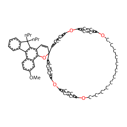 CCCC1(CCC)c2ccccc2-c2c1c1c(c3cc(OC)ccc23)OC2(C=C1)c1ccc(cc1)Oc1ccc(cc1)OCCCCCCCCCCCCOc1ccc(cc1)Oc1ccc2cc1